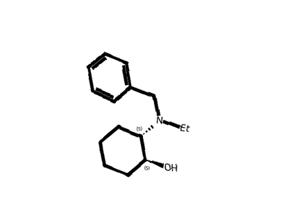 CCN(Cc1ccccc1)[C@H]1CCCC[C@@H]1O